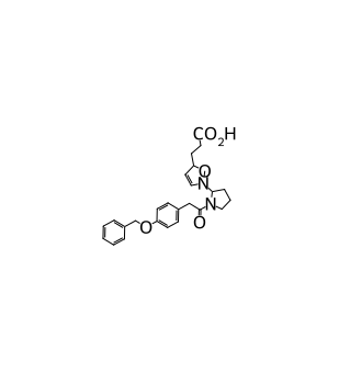 O=C(O)CCC1C=CN(C2CCCN2C(=O)Cc2ccc(OCc3ccccc3)cc2)O1